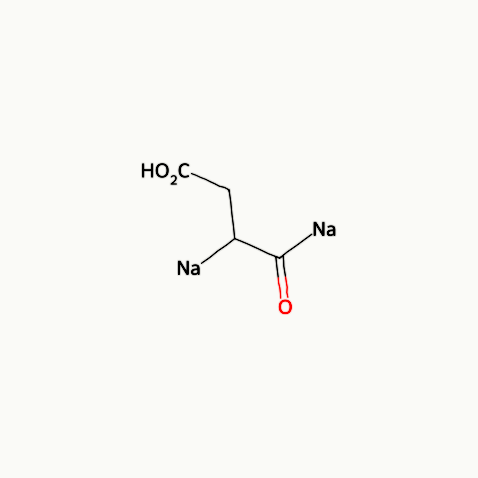 O=C(O)C[CH]([Na])[C](=O)[Na]